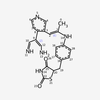 C/C(=C\c1cnccc1/C(C=N)=C/N)Nc1ccc(CC2SC(=O)NC2=O)cc1